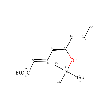 C/C=C/[C@H](C/C=C/C(=O)OCC)O[Si](C)(C)C(C)(C)C